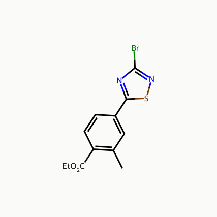 CCOC(=O)c1ccc(-c2nc(Br)ns2)cc1C